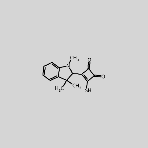 CN1c2ccccc2C(C)(C)C1c1c(S)c(=O)c1=O